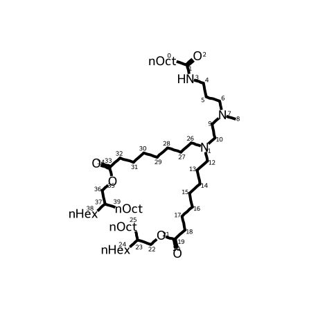 CCCCCCCCC(=O)NCCCN(C)CCN(CCCCCCCC(=O)OCC(CCCCCC)CCCCCCCC)CCCCCCCC(=O)OCC(CCCCCC)CCCCCCCC